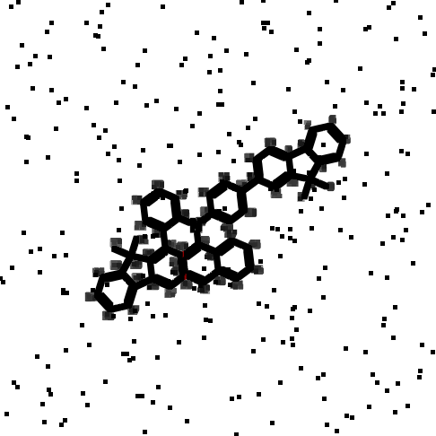 CC1(C)c2ccccc2-c2ccc(-c3ccc(N(c4ccccc4-c4cccc5c4C(C)(C)c4ccccc4-5)c4cccc5ccccc45)cc3)cc21